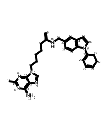 C=C(CCCCCn1cnc2c(N)nc(C)nc21)NCc1ccc2c(ccn2C2=CC=CCC2)c1